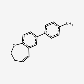 Cc1ccc(-c2ccc3c(c2)C=CCCO3)cc1